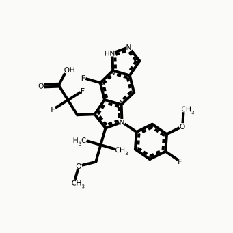 COCC(C)(C)c1c(CC(F)(F)C(=O)O)c2c(F)c3[nH]ncc3cc2n1-c1ccc(F)c(OC)c1